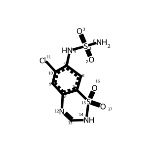 NS(=O)(=O)Nc1cc2c(cc1Cl)N=CNS2(=O)=O